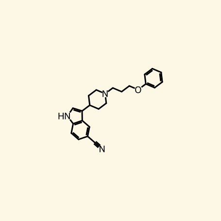 N#Cc1ccc2[nH]cc(C3CCN(CCCOc4ccccc4)CC3)c2c1